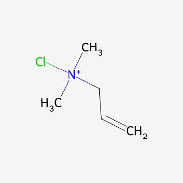 C=CC[N+](C)(C)Cl